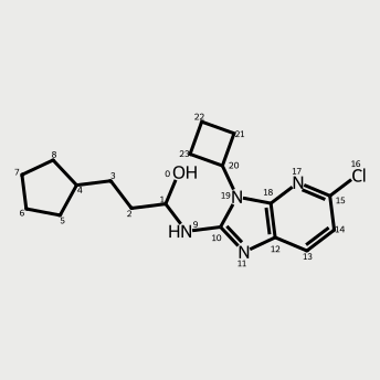 OC(CCC1CCCC1)Nc1nc2ccc(Cl)nc2n1C1CCC1